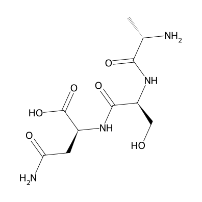 C[C@H](N)C(=O)N[C@@H](CO)C(=O)N[C@@H](CC(N)=O)C(=O)O